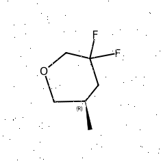 C[C@H]1COCC(F)(F)C1